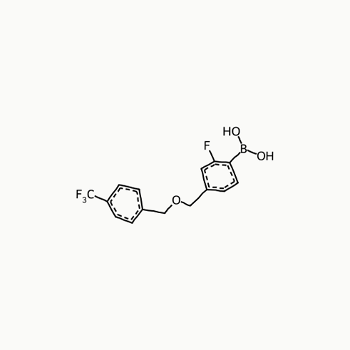 OB(O)c1ccc(COCc2ccc(C(F)(F)F)cc2)cc1F